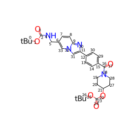 CC(C)(C)OC(=O)NCc1ccc2nc(-c3ccc(C(=O)N4CCC(OC(=O)OC(C)(C)C)CC4)cc3)cn2c1